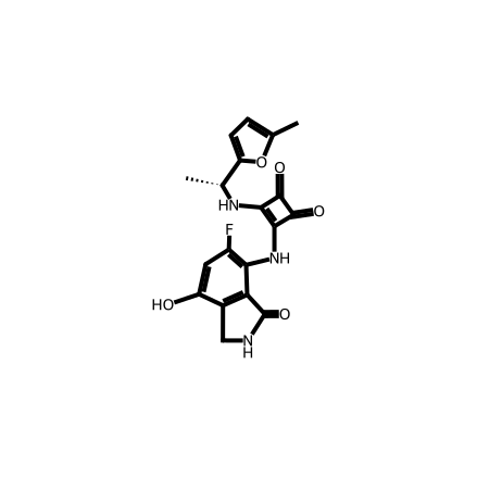 Cc1ccc([C@@H](C)Nc2c(Nc3c(F)cc(O)c4c3C(=O)NC4)c(=O)c2=O)o1